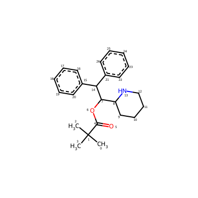 CC(C)(C)C(=O)OC(C1CCCCN1)C(c1ccccc1)c1ccccc1